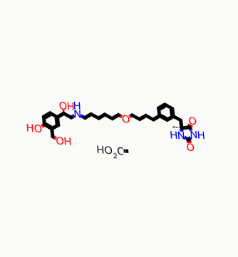 CC(=O)O.C[C@@]1(Cc2cccc(CCCCOCCCCCCNC[C@H](O)c3ccc(O)c(CO)c3)c2)NC(=O)NC1=O